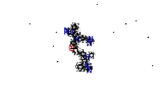 c1ccc(-n2c3ccc(-c4ccc5oc6ccc(-n7c8ccc(Cc9cnccn9)cc8c8cc(-c9ccccc9-c9cnccn9)ccc87)cc6c5c4)cc3c3cc(-c4ccccc4-c4cnccn4)ccc32)cc1